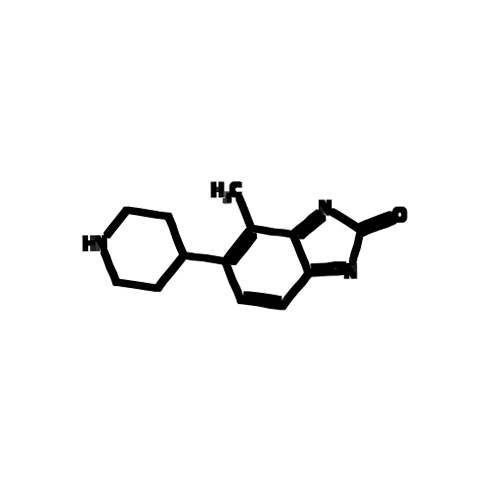 Cc1c(C2CCNCC2)ccc2c1=NC(=O)N=2